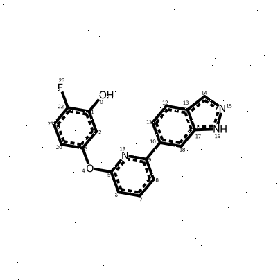 Oc1cc(Oc2cccc(-c3ccc4cn[nH]c4c3)n2)ccc1F